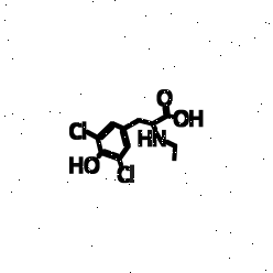 CCNC(Cc1cc(Cl)c(O)c(Cl)c1)C(=O)O